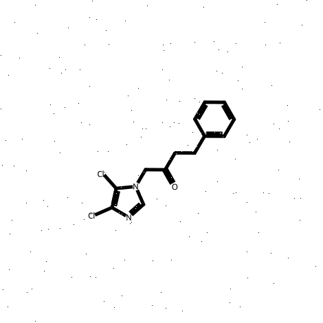 O=C(CCc1ccccc1)Cn1cnc(Cl)c1Cl